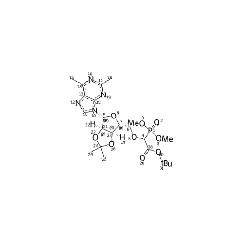 COP(=O)(OC)C(OC[C@H]1O[C@@H](n2cnc3c(C)nc(C)nc32)[C@@H]2OC(C)(C)O[C@@H]21)C(=O)OC(C)(C)C